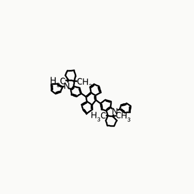 CC12CCCCC1(C)N(c1ccccc1)c1ccc(-c3c4ccccc4c(-c4ccc5c(c4)C4(C)CCCCC4(C)N5c4ccccc4)c4ccccc34)cc12